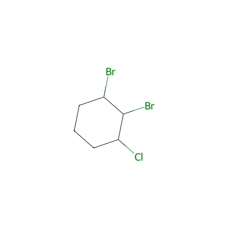 ClC1CCCC(Br)C1Br